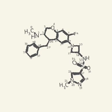 CN[C@@H]1COc2cc(F)c(N3CC(NS(=O)(=O)c4cnn(C)c4)C3)cc2[C@H]1Cc1ccccc1